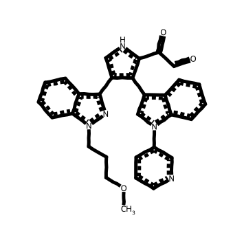 COCCCn1nc(-c2c[nH]c(C(=O)C=O)c2-c2cn(-c3cccnc3)c3ccccc23)c2ccccc21